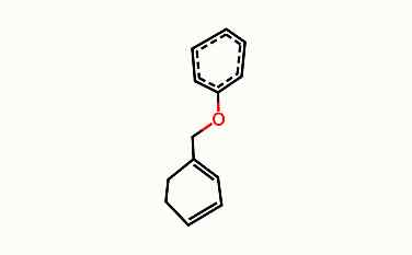 C1=CCCC(COc2ccccc2)=C1